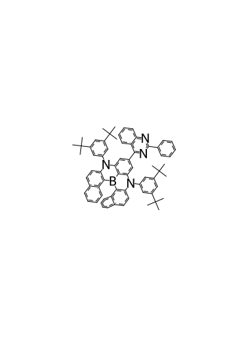 CC(C)(C)c1cc(N2c3cc(-c4nc(-c5ccccc5)nc5ccccc45)cc4c3B(c3c2ccc2ccccc32)c2c(ccc3ccccc23)N4c2cc(C(C)(C)C)cc(C(C)(C)C)c2)cc(C(C)(C)C)c1